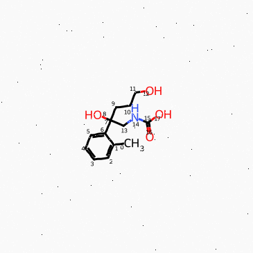 Cc1ccccc1C(O)(CCCO)CNC(=O)O